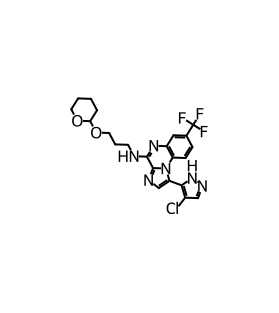 FC(F)(F)c1ccc2c(c1)nc(NCCCOC1CCCCO1)c1ncc(-c3[nH]ncc3Cl)n12